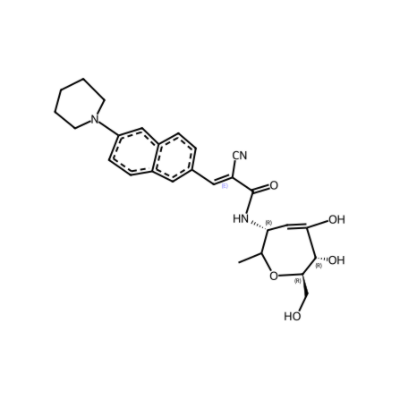 CC1O[C@H](CO)[C@@H](O)C(O)=C[C@H]1NC(=O)/C(C#N)=C/c1ccc2cc(N3CCCCC3)ccc2c1